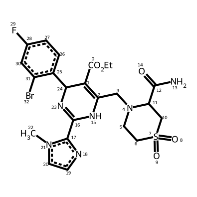 CCOC(=O)C1=C(CN2CCS(=O)(=O)CC2C(N)=O)NC(c2nccn2C)=NC1c1ccc(F)cc1Br